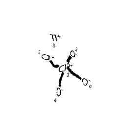 [O-][Cl+3]([O-])([O-])[O-].[Tl+]